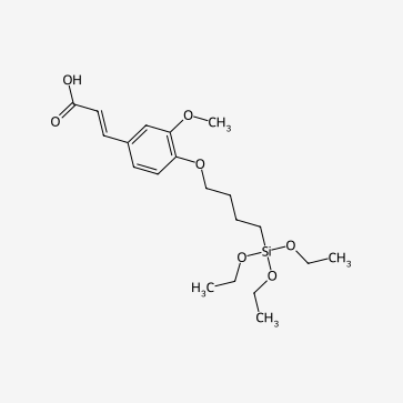 CCO[Si](CCCCOc1ccc(/C=C/C(=O)O)cc1OC)(OCC)OCC